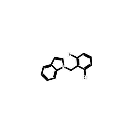 Fc1cccc(Cl)c1Cn1ccc2ccccc21